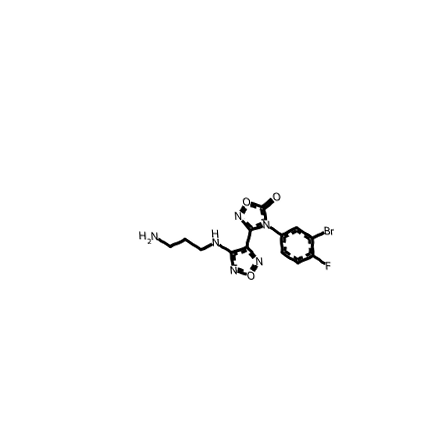 NCCCNc1nonc1-c1noc(=O)n1-c1ccc(F)c(Br)c1